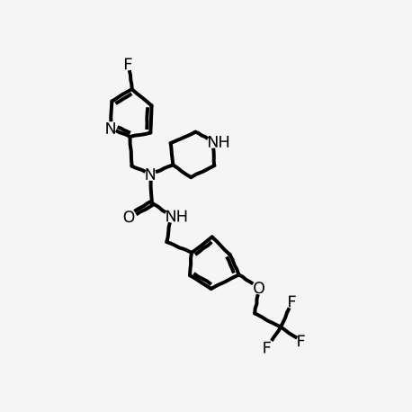 O=C(NCc1ccc(OCC(F)(F)F)cc1)N(Cc1ccc(F)cn1)C1CCNCC1